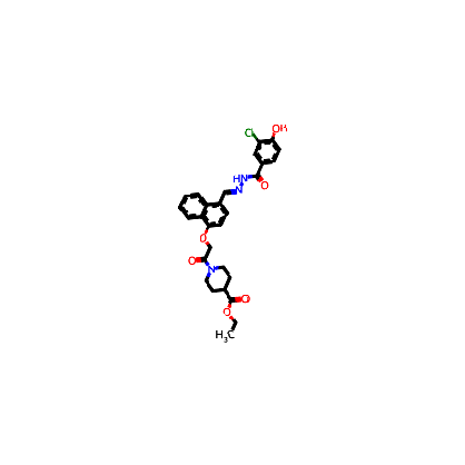 CCOC(=O)C1CCN(C(=O)COc2ccc(/C=N/NC(=O)c3ccc(O)c(Cl)c3)c3ccccc23)CC1